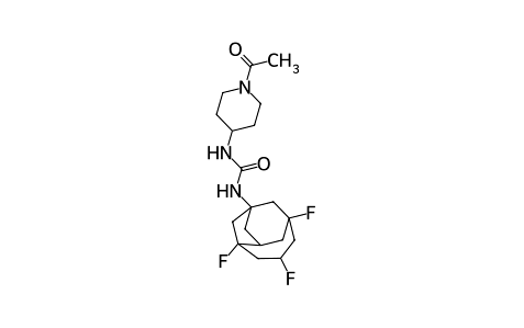 CC(=O)N1CCC(NC(=O)NC23CC4CC(F)(CC(F)CC4(F)C2)C3)CC1